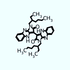 CCCCC(CC)Cn1c2nc3ccccc3[nH]c-2c(-c2c3[nH]c4ccccc4nc-3n(CC(CC)CCCC)c2=O)c1=O